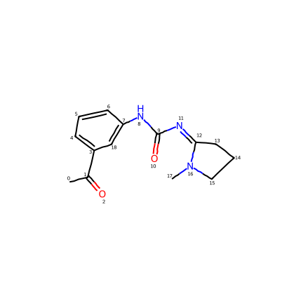 CC(=O)c1cccc(NC(=O)/N=C2/CCCN2C)c1